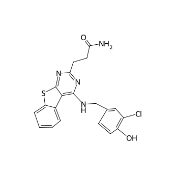 NC(=O)CCc1nc(NCc2ccc(O)c(Cl)c2)c2c(n1)sc1ccccc12